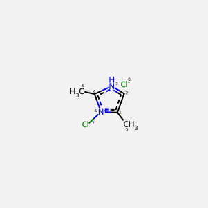 Cc1c[nH]c(C)[n+]1Cl.[Cl-]